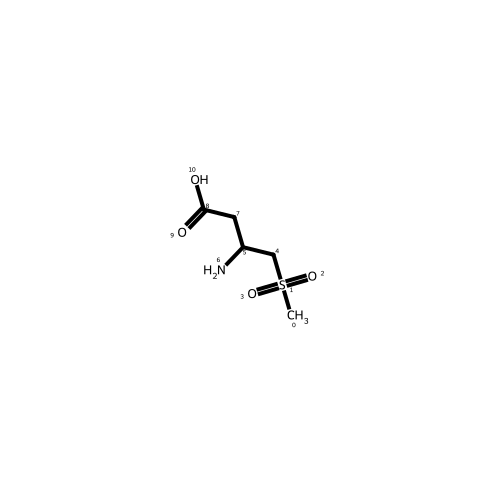 CS(=O)(=O)CC(N)CC(=O)O